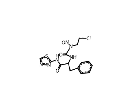 O=NN(CCCl)C(=O)N[C@@H](Cc1ccccc1)C(=O)Nc1nncs1